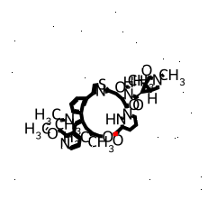 CCO[C@@H]1c2nc(cs2)-c2ccc3c(c2)c(c(-c2cccnc2[C@H](C)OC)n3CC)CC(C)(C)COC[C@@]2(C=O)CCCN(N2)C(=O)[C@H]1NC(=O)[C@@H]1[C@H]2CN(C)C(=O)[C@H]21